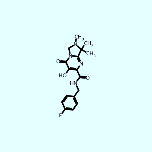 CN1Cn2c(nc(C(=O)NCc3ccc(F)cc3)c(O)c2=O)C1(C)C